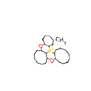 C[C@H]1CCCC2OC3CCCCCCC4OC5CCCCCCCCC5P(=S)(C2C1)C43